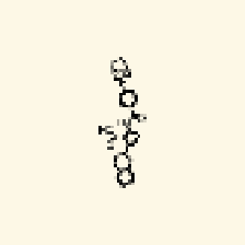 O=C(Nc1scc(C2CCc3ccccc3C2)c1C(=O)O)c1ccc(N2CC3CCC(C2)O3)cc1